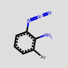 CC(=O)c1cccc(N=[N+]=[N-])c1N